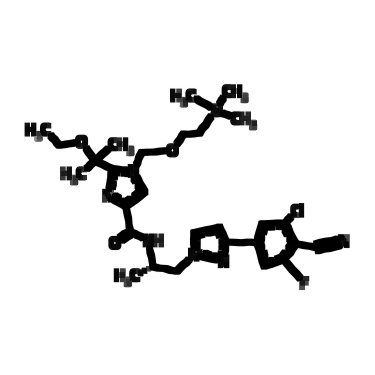 CCOC(C)(C)c1nc(C(=O)N[C@@H](C)Cn2ccc(-c3cc(F)c(C#N)c(Cl)c3)n2)cn1COCC[Si](C)(C)C